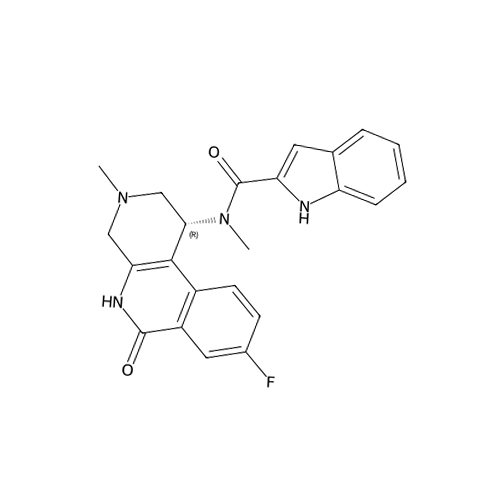 CN1Cc2[nH]c(=O)c3cc(F)ccc3c2[C@@H](N(C)C(=O)c2cc3ccccc3[nH]2)C1